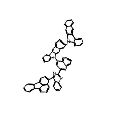 c1ccc2c(c1)-c1cccc3c(-c4nc(-c5cc(-n6c7ccccc7c7cc8ccc(-n9c%10ccccc%10c%10cc%11ccccc%11cc%109)cc8cc76)c6ccccc6c5)nc5ccccc45)ccc-2c13